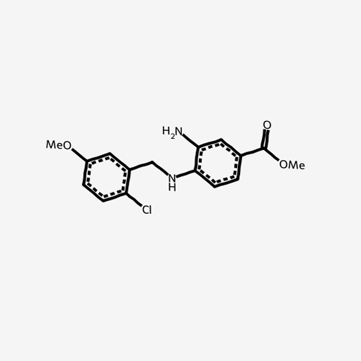 COC(=O)c1ccc(NCc2cc(OC)ccc2Cl)c(N)c1